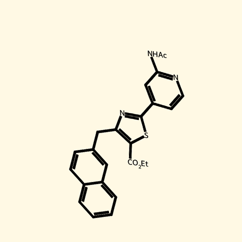 CCOC(=O)c1sc(-c2ccnc(NC(C)=O)c2)nc1Cc1ccc2ccccc2c1